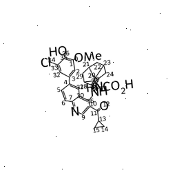 COc1cc(-c2ccc3ncc(C(=O)C4CC4)c(NC4C5CC6CC(C5)C(NC(=O)O)C4C6)c3c2)cc(Cl)c1O